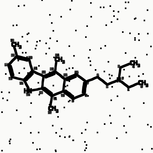 CCN(CC)CCc1ccc2c(C)c3[nH]c4ccc(C)cc4c3c(C)c2c1